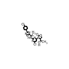 C[C@H](Nc1nc(Cl)cc(N2C(=O)OCC2[C@@H](C)O)n1)c1nc(-c2ccc(Cl)cc2)no1